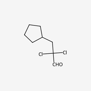 O=CC(Cl)(Cl)CC1CCCC1